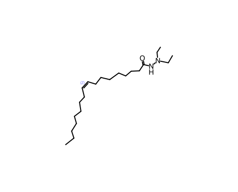 CCCCCCCC/C=C\CCCCCCCC(=O)NN(CC)CC